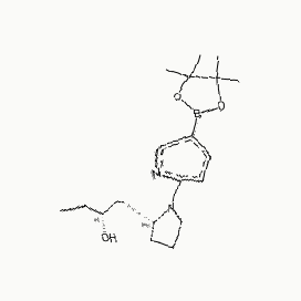 CC[C@@H](O)C[C@H]1CCCN1c1ccc(B2OC(C)(C)C(C)(C)O2)cn1